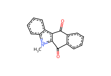 Cn1c2c(c3ccccc31)C(=O)c1ccccc1C2=O